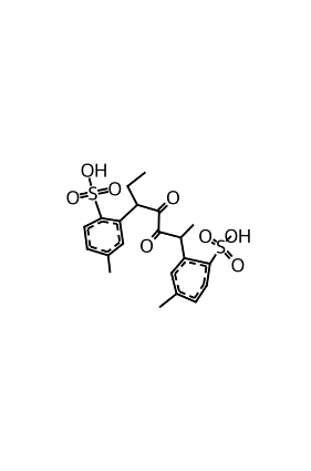 CCC(C(=O)C(=O)C(C)c1cc(C)ccc1S(=O)(=O)O)c1cc(C)ccc1S(=O)(=O)O